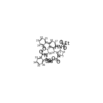 CCS(=O)(=O)NC1CCN(C(=O)OC(C)(C)C)C1Cc1cccc(-c2ccccc2OCCN2C(=O)c3ccccc3C2=O)c1